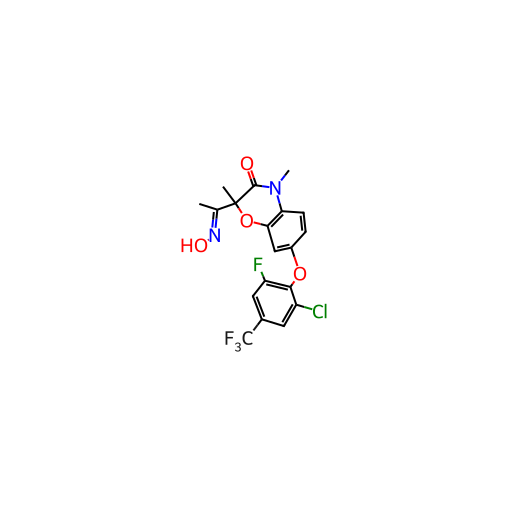 CC(=NO)C1(C)Oc2cc(Oc3c(F)cc(C(F)(F)F)cc3Cl)ccc2N(C)C1=O